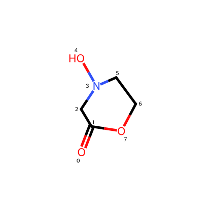 O=C1CN(O)CCO1